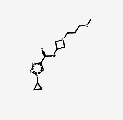 COCCCN1CC(NC(=O)c2cn(C3CC3)nn2)C1